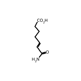 NC(=O)/C=C/CCCC(=O)O